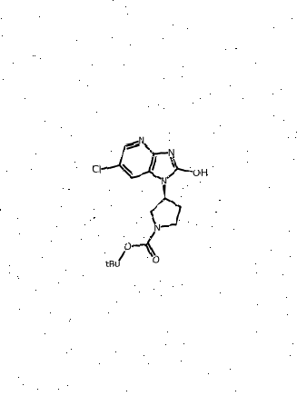 CC(C)(C)OC(=O)N1CC[C@H](n2c(O)nc3ncc(Cl)cc32)C1